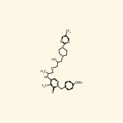 COc1ccc(Cn2ncc(N[C@@H](C)COCC(O)CN3CCN(c4ncc(C(F)(F)F)cn4)CC3)c(C(F)(F)F)c2=O)cc1